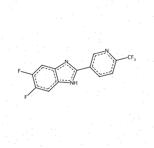 Fc1cc2nc(-c3ccc(C(F)(F)F)nc3)[nH]c2cc1F